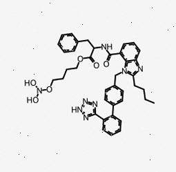 CCCCc1nc2cccc(C(=O)NC(Cc3ccccc3)C(=O)OCCCCON(O)O)c2n1Cc1ccc(-c2ccccc2-c2nn[nH]n2)cc1